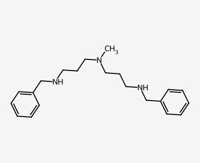 CN(CCCNCc1ccccc1)CCCNCc1ccccc1